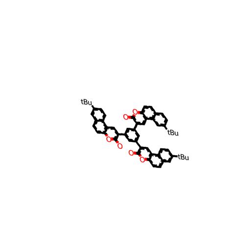 CC(C)(C)c1ccc2c(ccc3oc(=O)c(-c4cc(-c5cc6c(ccc7cc(C(C)(C)C)ccc76)oc5=O)cc(-c5cc6c(ccc7ccc(C(C)(C)C)cc76)oc5=O)c4)cc32)c1